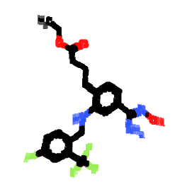 CCOC(=O)CCCc1ccc(C(N)=NO)cc1NCc1ccc(F)cc1C(F)(F)F